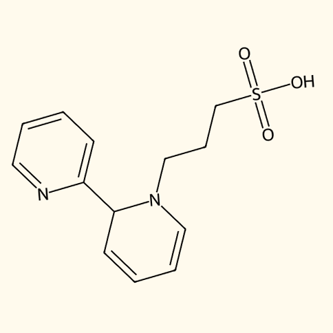 O=S(=O)(O)CCCN1C=CC=CC1c1ccccn1